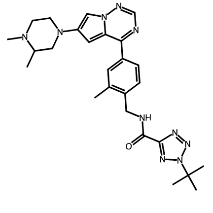 Cc1cc(-c2ncnn3cc(N4CCN(C)C(C)C4)cc23)ccc1CNC(=O)c1nnn(C(C)(C)C)n1